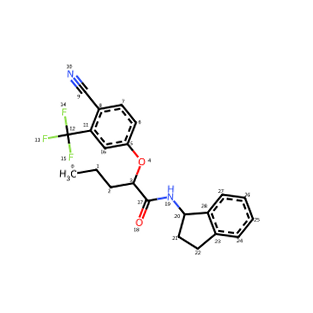 CCCC(Oc1ccc(C#N)c(C(F)(F)F)c1)C(=O)NC1CCc2ccccc21